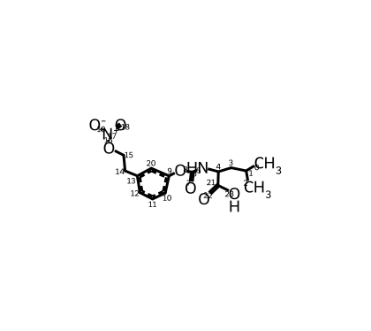 CC(C)CC(NC(=O)Oc1cccc(CCO[N+](=O)[O-])c1)C(=O)O